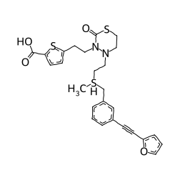 C[SH](CCN1CCSC(=O)N1CCc1ccc(C(=O)O)s1)Cc1cccc(C#Cc2ccco2)c1